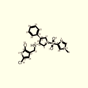 Cn1cnc(S(=O)(=O)N2C[C@H](NCc3cc(Cl)sc3Cl)[C@@H](c3ccccc3)C2)c1